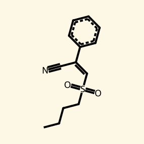 CCCCS(=O)(=O)C=C(C#N)c1ccccc1